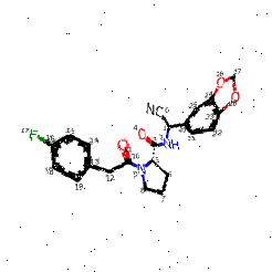 N#CC(NC(=O)[C@@H]1CCCN1C(=O)Cc1ccc(F)cc1)c1ccc2c(c1)OCO2